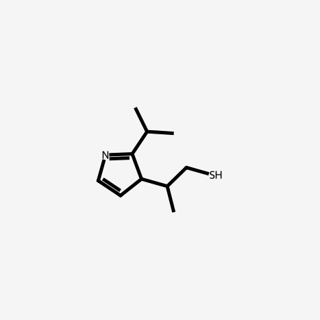 CC(C)C1=NC=CC1C(C)CS